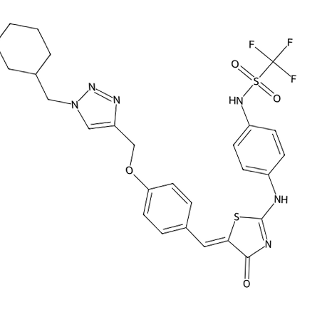 O=C1N=C(Nc2ccc(NS(=O)(=O)C(F)(F)F)cc2)SC1=Cc1ccc(OCc2cn(CC3CCCCC3)nn2)cc1